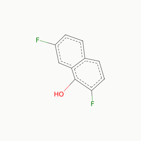 Oc1c(F)ccc2ccc(F)cc12